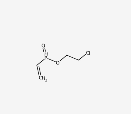 C=C[PH](=O)OCCCl